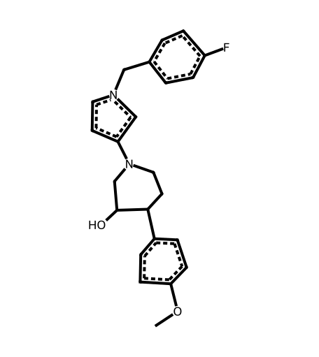 COc1ccc(C2CCN(c3ccn(Cc4ccc(F)cc4)c3)CC2O)cc1